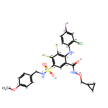 COc1ccc(CNS(=O)(=O)c2cc(C(=O)NOCC3CC3)c(Nc3ccc(I)cc3Cl)c(F)c2F)cc1